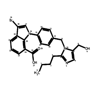 CCCCc1ncc(CO)n1Cc1ccc(-n2cc(Br)c3cccc(C(=O)O)c32)cc1